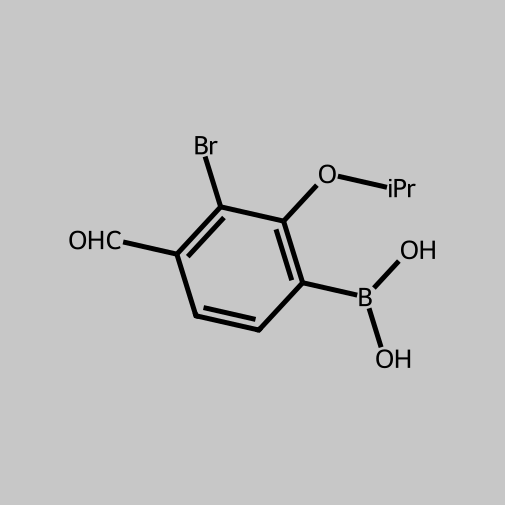 CC(C)Oc1c(B(O)O)ccc(C=O)c1Br